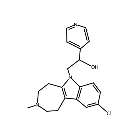 CN1CCc2c(n(CC(O)c3ccncc3)c3ccc(Cl)cc23)CC1